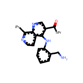 CCCC(=O)c1cnc2c(C(C)C)nccc2c1Nc1ccccc1CN